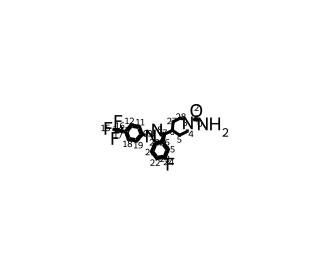 NC(=O)N1CCC(c2nn(-c3ccc(C(F)(F)F)cc3)c3ccc(F)cc23)CC1